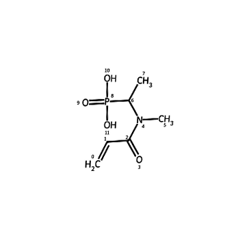 C=CC(=O)N(C)C(C)P(=O)(O)O